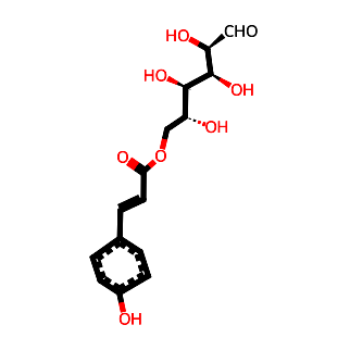 O=C[C@H](O)[C@@H](O)[C@H](O)[C@H](O)COC(=O)C=Cc1ccc(O)cc1